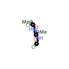 COc1ccc(C(=O)N/N=C/c2ccc(NC(=O)Cc3ccc(Cl)cc3)cc2OC)cc1Cl